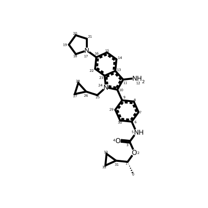 C[C@@H](OC(=O)Nc1ccc(-c2c(N)c3ccc(N4CCCC4)cc3n2CC2CC2)cc1)C1CC1